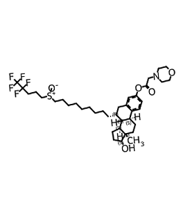 C[C@]12CC[C@@H]3c4ccc(OC(=O)CN5CCOCC5)cc4C[C@@H](CCCCCCCCC[S+]([O-])CCCC(F)(F)C(F)(F)F)[C@H]3[C@@H]1CC[C@@H]2O